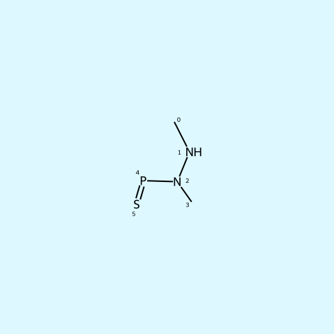 CNN(C)P=S